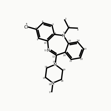 CC(C)N1c2ccc(Cl)cc2N=C(N2CCN(C)CC2)c2ccccc21